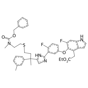 CCOC(=O)Cc1c(Oc2ccc(F)c(-c3ncc(C(C)(CCSCCN(C)C(=O)OCc4ccccc4)c4cccc(C)c4)[nH]3)c2)c(F)cc2[nH]ccc12